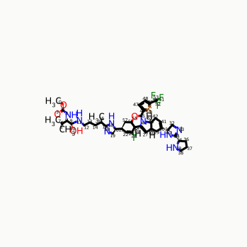 COC(=O)N[C@@H](C(C)C)[C@H](O)NCCC[C@H](C)C1=NC[C@H]([C@@H]2C=C(F)[C@@H]3C4=C[C@@H]5CC([C@@H]6CN=C([C@@H]7CCCN7)N6)=CC[C@@H]5N4C(c4ccc(C(F)(F)F)s4)OC3C2)N1